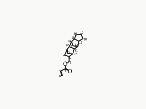 C=CC(=O)OCC1CC2CC1C1C3CC(C4CCCC43)C21